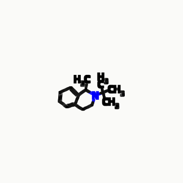 CC1c2ccccc2CCN1C(C)(C)C